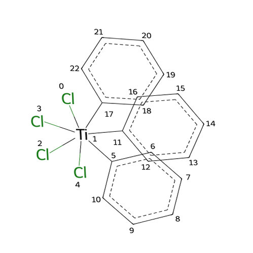 [Cl][Ti]([Cl])([Cl])([Cl])([c]1ccccc1)([c]1ccccc1)[c]1ccccc1